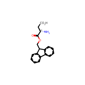 N[C@@H](CC(=O)O)C(=O)OCC1c2ccccc2-c2ccccc21